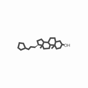 CC12CCC(O)CC1CCC1C2CCC2(C)C1CC[C@@H]2CCCC1CCCC1